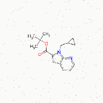 CC(C)(C)OC(=O)c1cc2cccnc2n1CC1CC1